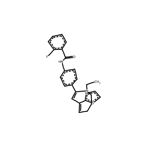 CCN1CCC/C=C(c2nccs2)/C=C\1c1ccc(NC(=O)c2ccccc2F)cc1